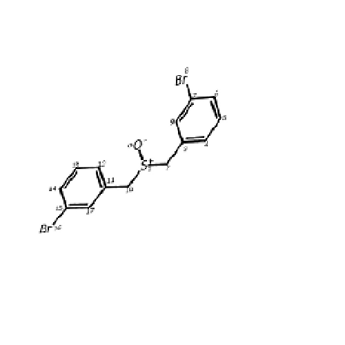 [O-][S+](Cc1cccc(Br)c1)Cc1cccc(Br)c1